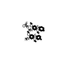 CCOc1cc(Sc2ccc(C)cc2)c(OCC)cc1[N+]#N.CCOc1cc(Sc2ccc(C)cc2)c(OCC)cc1[N+]#N.[O-]B([O-])F